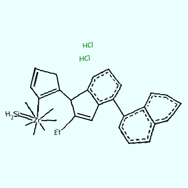 CCC1=Cc2c(-c3cccc4ccccc34)cccc2C1C1=[C]([Zr]([CH3])([CH3])([CH3])([CH3])([CH3])([CH3])=[SiH2])C=CC1.Cl.Cl